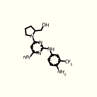 CCCc1cc(N2CCCC2CO)nc(Nc2ccc(N)c(C(F)(F)F)c2)n1